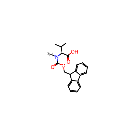 [2H]N(C(=O)OCC1c2ccccc2-c2ccccc21)[C@H](C(=O)O)C(C)C